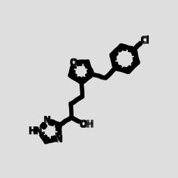 OC(CCc1cocc1Cc1ccc(Cl)cc1)c1nc[nH]n1